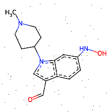 CN1CCC(n2cc(C=O)c3ccc(NO)cc32)CC1